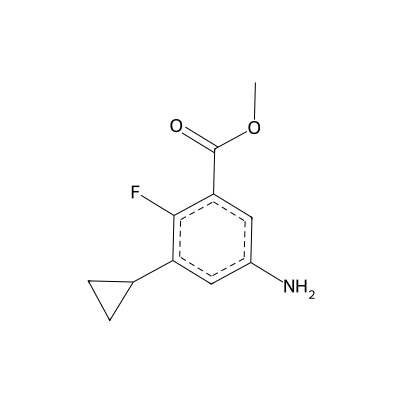 COC(=O)c1cc(N)cc(C2CC2)c1F